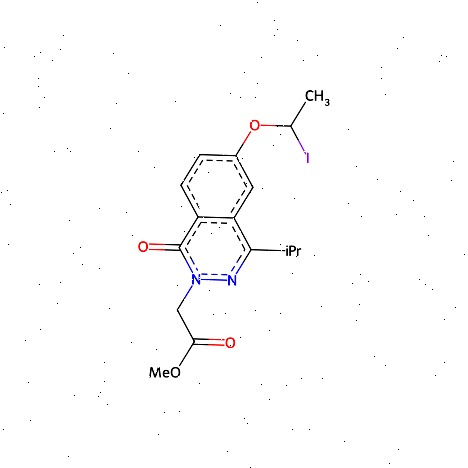 COC(=O)Cn1nc(C(C)C)c2cc(OC(C)I)ccc2c1=O